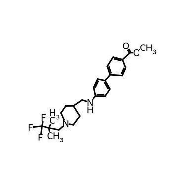 COC(=O)c1ccc(-c2ccc(NCC3CCN(CC(C)(C)C(F)(F)F)CC3)cc2)cc1